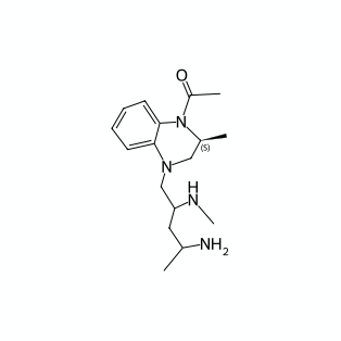 CNC(CC(C)N)CN1C[C@H](C)N(C(C)=O)c2ccccc21